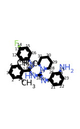 Cc1cccc(C)c1/C(=N\c1ccc(F)cc1)N/C(=N/c1cccc(N)c1)N1CCCCC1C